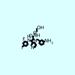 Nc1cccc(Cn2c(C(=O)NOCCO)c(Nc3ccc(I)cc3F)c3cnccc32)c1